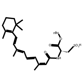 CCCCOC(=O)[C@H](CS(=O)(=O)O)NC(=O)/C=C(/C)C=CC=C(C)C=CC1=C(C)CCCC1(C)C